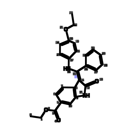 CCOC(=O)c1ccc2c(c1)NC(=O)/C2=C(/Nc1ccc(OCC)cc1)c1ccccc1